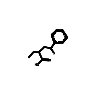 CCC(CC(F)c1ccccc1)C(=O)O